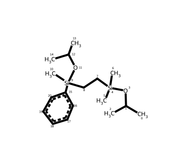 CC(C)O[Si](C)(C)CC[Si](C)(OC(C)C)c1ccccc1